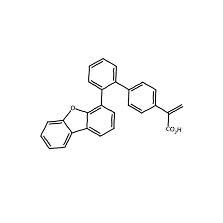 C=C(C(=O)O)c1ccc(-c2ccccc2-c2cccc3c2oc2ccccc23)cc1